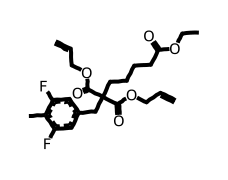 C=CCOC(=O)C(CCCCC(=O)OCC)(Cc1cc(F)c(C)c(F)c1)C(=O)OCC=C